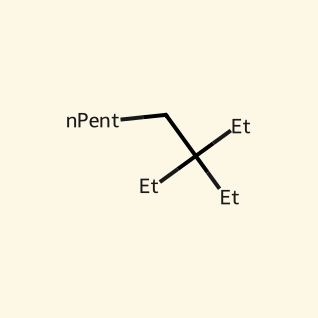 [CH2]CCCCCC(CC)(CC)CC